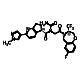 Cn1cc(-c2ccc3c(n2)CC[C@@H]3C(=O)N(CC(=O)N2Cc3cc(F)ccc3OC[C@H]2C(F)(F)F)C(N)=O)cn1